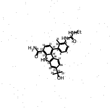 CCNC(=O)Nc1cccc(-c2ccc(C(N)=O)c3[nH]c4cc(C(C)(C)O)ccc4c23)c1C